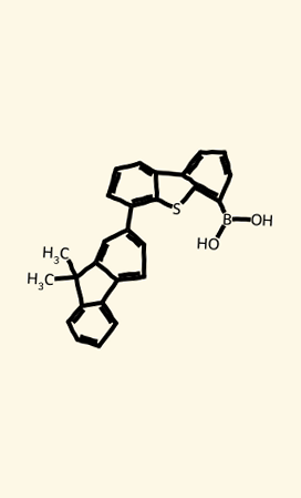 CC1(C)c2ccccc2-c2ccc(-c3cccc4c3sc3c(B(O)O)cccc34)cc21